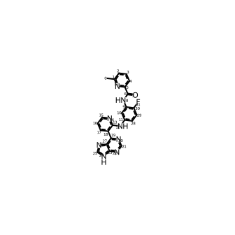 Cc1cccc(C(=O)Nc2cc(Nc3ncccc3-c3ncnc4[nH]cnc34)ccc2F)n1